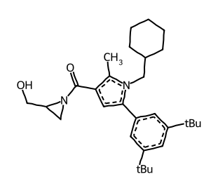 Cc1c(C(=O)N2CC2CO)cc(-c2cc(C(C)(C)C)cc(C(C)(C)C)c2)n1CC1CCCCC1